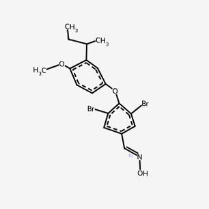 CCC(C)c1cc(Oc2c(Br)cc(/C=N/O)cc2Br)ccc1OC